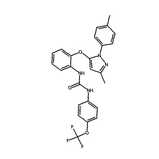 Cc1ccc(-n2nc(C)cc2Oc2ccccc2NC(=O)Nc2ccc(OC(F)(F)F)cc2)cc1